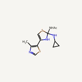 CC(=O)NC1(NC2CC2)NC(c2scnc2C)=CS1